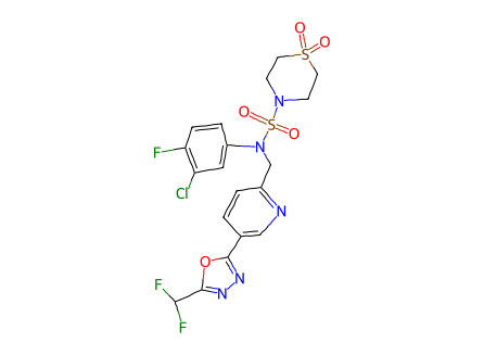 O=S1(=O)CCN(S(=O)(=O)N(Cc2ccc(-c3nnc(C(F)F)o3)cn2)c2ccc(F)c(Cl)c2)CC1